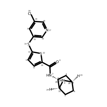 O=C(N[C@@H]1C[C@H]2CC[C@@H]1N2)c1ccc(Sc2cncc(Cl)c2)s1